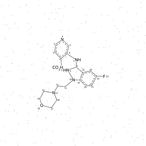 O=C(O)c1ccncc1NC1NN(CCN2CCOCC2)c2ccc(F)cc21